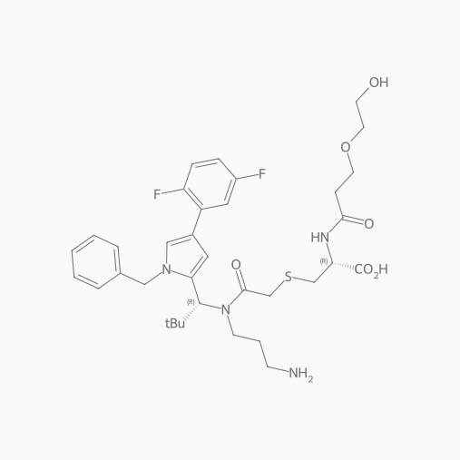 CC(C)(C)[C@H](c1cc(-c2cc(F)ccc2F)cn1Cc1ccccc1)N(CCCN)C(=O)CSC[C@H](NC(=O)CCOCCO)C(=O)O